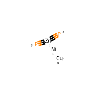 [Cu].[Ni].[P]#[Zn]#[P]